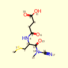 CSCC(NC(=O)CCC(=O)O)C(=O)N(C)C#N